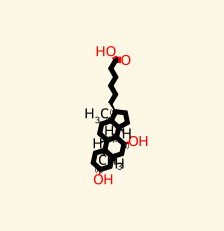 C[C@]12CC[C@@H](O)C[C@H]1C[C@H](O)[C@@H]1[C@@H]2CC[C@]2(C)[C@@H](CCCCCC(=O)O)CC[C@@H]12